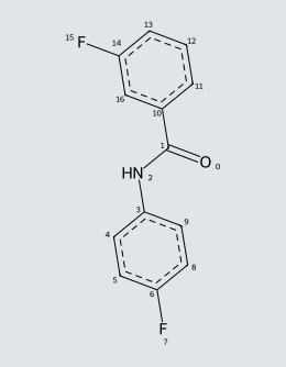 O=C(Nc1ccc(F)cc1)c1cccc(F)c1